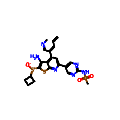 C=C/C=C(\C=N/C)c1cc(-c2cnc(NS(C)(=O)=O)nc2)nc2sc([S+]([O-])C3CCC3)c(N)c12